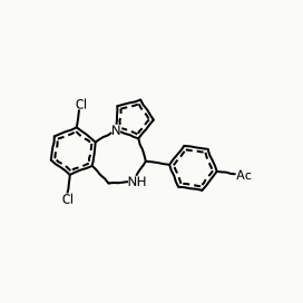 CC(=O)c1ccc(C2NCc3c(Cl)ccc(Cl)c3-n3cccc32)cc1